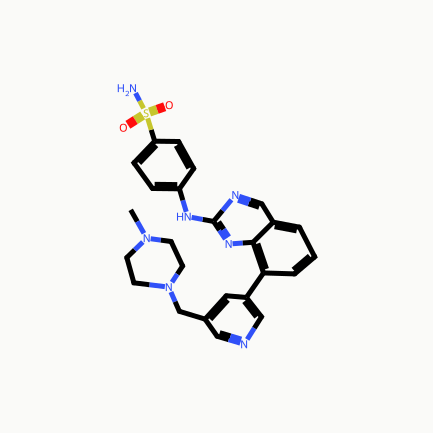 CN1CCN(Cc2cncc(-c3cccc4cnc(Nc5ccc(S(N)(=O)=O)cc5)nc34)c2)CC1